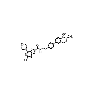 CC(=O)N1c2ccc(-c3ccc(CCNC(=O)c4cc5nc(Cl)nc(N6CCOCC6)c5s4)cc3)cc2CC[C@@H]1C